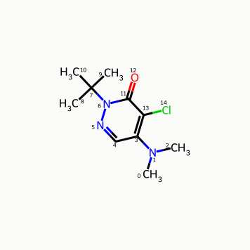 CN(C)c1cnn(C(C)(C)C)c(=O)c1Cl